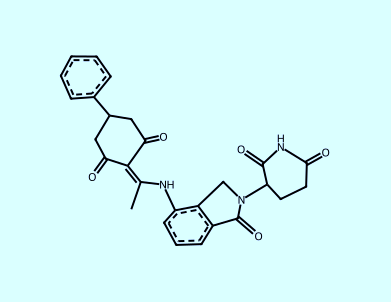 CC(Nc1cccc2c1CN(C1CCC(=O)NC1=O)C2=O)=C1C(=O)CC(c2ccccc2)CC1=O